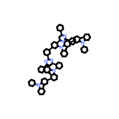 c1ccc(-c2cc(-c3ccc(-c4cccc(-c5nc(-c6ccccc6)cc(-c6ccccc6-n6c7ccccc7c7c(-c8ccc9c(c8)c8ccccc8n9-c8ccccc8)cccc76)n5)c4)cc3-n3c4ccccc4c4cc(-c5ccc6c7ccccc7n(-c7ccccc7)c6c5)ccc43)nc(-c3ccccc3)n2)cc1